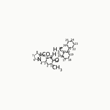 Cc1cc(CN2CCC[C@H]2C(=O)O)ccc1OCc1cccc(-c2ccccc2)c1C